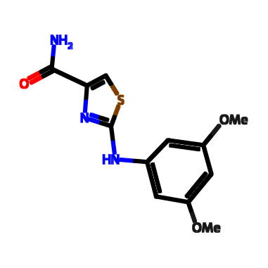 COc1cc(Nc2nc(C(N)=O)cs2)cc(OC)c1